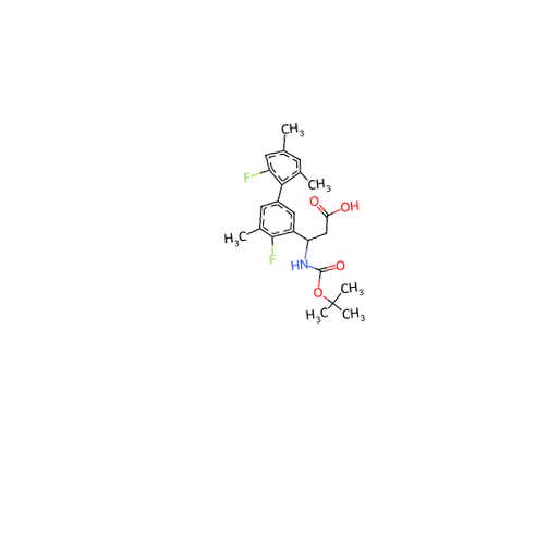 Cc1cc(C)c(-c2cc(C)c(F)c(C(CC(=O)O)NC(=O)OC(C)(C)C)c2)c(F)c1